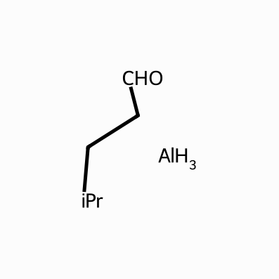 CC(C)CCC=O.[AlH3]